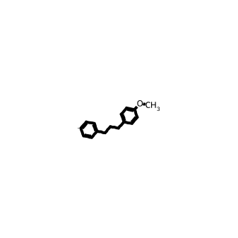 COc1ccc(CCCc2cc[c]cc2)cc1